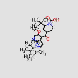 COc1cnc2c(ccn2[Si](C(C)C)(C(C)C)C(C)C)c1C(=O)C1CCN(C(=O)O)C(C(C)(C)C)C1